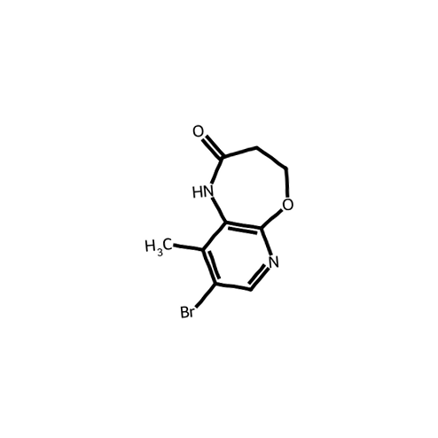 Cc1c(Br)cnc2c1NC(=O)CCO2